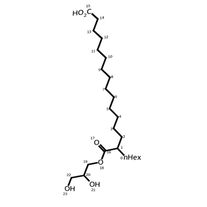 CCCCCCC(CCCCCCCCCCCCCC(=O)O)C(=O)OCC(O)CO